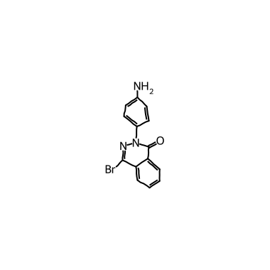 Nc1ccc(-n2nc(Br)c3ccccc3c2=O)cc1